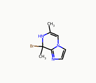 CC1=Cn2ccnc2C(C)(Br)N1